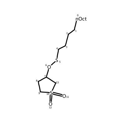 CCCCCCCCCCCCSOC1CCS(=O)(=O)C1